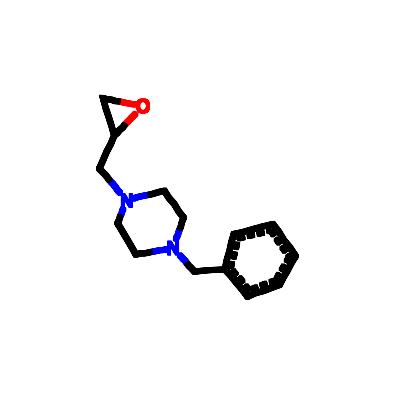 c1ccc(CN2CCN(CC3CO3)CC2)cc1